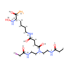 CCC(=O)NCCN(CCNC(=O)CI)C(=O)CCC(=O)NCCCC[C@H](NO)C(=O)P